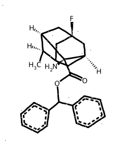 C[C@@H]1C2C[C@@H]3C[C@](F)(C2)C[C@H]1[C@@]3(N)C(=O)OC(c1ccccc1)c1ccccc1